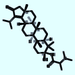 CC(C)C1=C2[C@H]3CC[C@@H]4[C@@]5(C)CC[C@@](O)(NC(=O)C(C)N(C)C)C(C)(C)[C@@H]5CC[C@@]4(C)[C@]3(C)CC[C@@]2(C)CC1=O